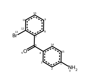 Nc1ccc(C(=O)c2ccccc2Br)cc1